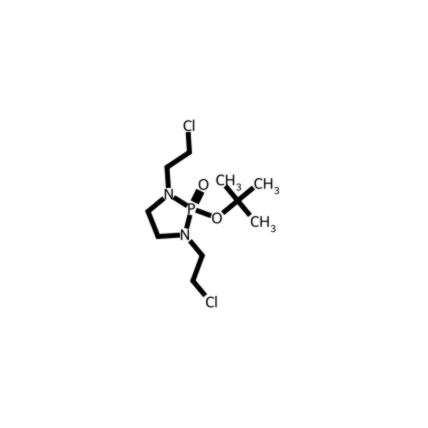 CC(C)(C)OP1(=O)N(CCCl)CCN1CCCl